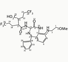 COCCNc1cccc2c1NC(=O)C(NC(=O)C(CCC(F)(F)F)C(CCC(F)(F)F)C(=O)O)N=C2c1ccccc1